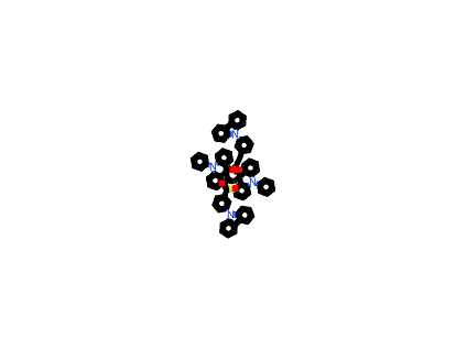 c1ccc(N2c3ccccc3C3(c4ccccc42)c2cc(-c4cccc(-n5c6ccccc6c6ccccc65)c4)sc2C2(c4ccccc4N(c4ccccc4)c4ccccc42)c2cc(-c4cccc(-n5c6ccccc6c6ccccc65)c4)sc23)cc1